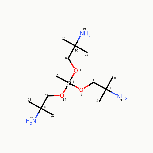 CC(C)(N)CO[Si](C)(OCC(C)(C)N)OCC(C)(C)N